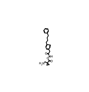 NCC1(C(=O)ONC(=O)Cc2ccc(CCCCc3ccccc3)cc2)CC1